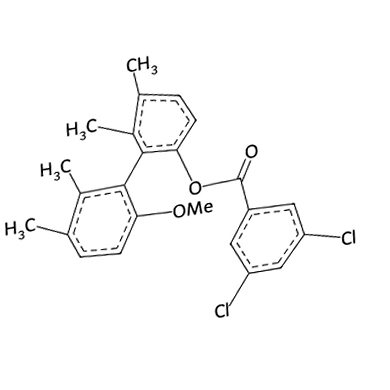 COc1ccc(C)c(C)c1-c1c(OC(=O)c2cc(Cl)cc(Cl)c2)ccc(C)c1C